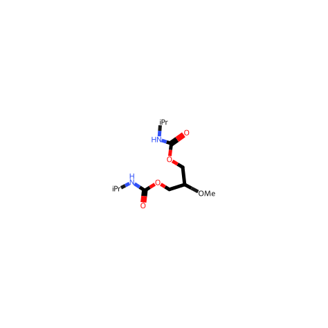 COC(COC(=O)NC(C)C)COC(=O)NC(C)C